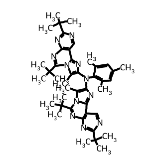 Cc1cc(C)c(N(c2nc3c4cnc(C(C)(C)C)nc4nc(C(C)(C)C)n3c2C)c2nc3c4cnc(C(C)(C)C)nc4nc(C(C)(C)C)n3c2C)c(C)c1